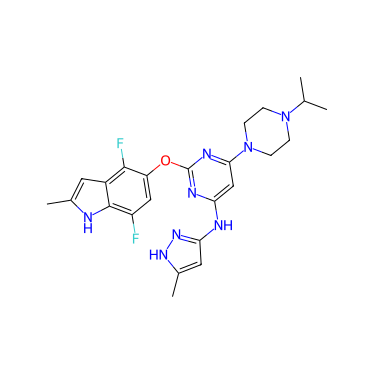 Cc1cc(Nc2cc(N3CCN(C(C)C)CC3)nc(Oc3cc(F)c4[nH]c(C)cc4c3F)n2)n[nH]1